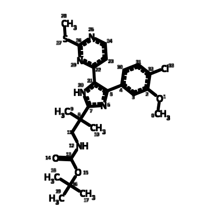 COc1cc(-c2nc(C(C)(C)CNC(=O)OC(C)(C)C)[nH]c2-c2ccnc(SC)n2)ccc1Cl